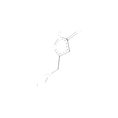 CNCc1cc(=O)[nH]o1